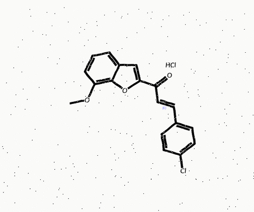 COc1cccc2cc(C(=O)/C=C/c3ccc(Cl)cc3)oc12.Cl